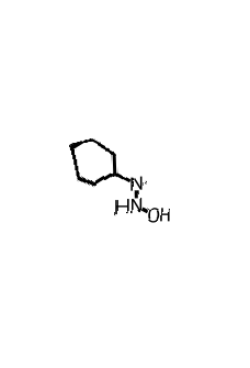 ON[N]C1CCCCC1